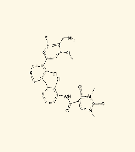 COc1cc(-c2cccc(-c3cccc(NC(=O)c4cn(C)c(=O)n(C)c4=O)c3Cl)c2Cl)cc(F)c1CN